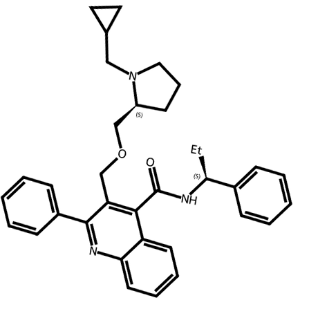 CC[C@H](NC(=O)c1c(COC[C@@H]2CCCN2CC2CC2)c(-c2ccccc2)nc2ccccc12)c1ccccc1